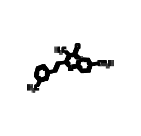 Cc1cccc(/C=C/c2nc3ccc(C(=O)O)cn3c(=O)c2C)c1